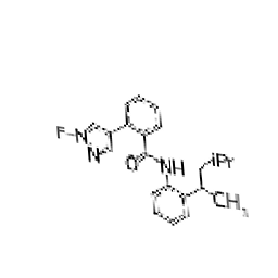 CC(C)CC(C)c1ccccc1NC(=O)c1ccccc1-c1cnn(F)c1